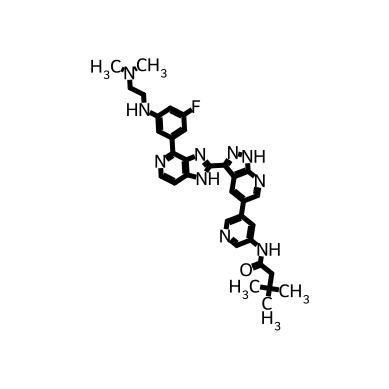 CN(C)CCNc1cc(F)cc(-c2nccc3[nH]c(-c4n[nH]c5ncc(-c6cncc(NC(=O)CC(C)(C)C)c6)cc45)nc23)c1